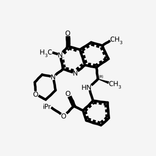 Cc1cc([C@@H](C)Nc2ccccc2C(=O)OC(C)C)c2nc(N3CCOCC3)n(C)c(=O)c2c1